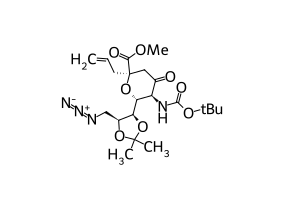 C=CC[C@]1(C(=O)OC)CC(=O)[C@@H](NC(=O)OC(C)(C)C)[C@H]([C@H]2OC(C)(C)O[C@H]2CN=[N+]=[N-])O1